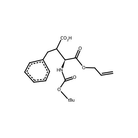 C=CCOC(=O)[C@@H](NC(=O)OC(C)(C)C)C(Cc1ccccc1)C(=O)O